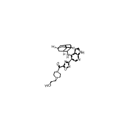 O=C(c1nc(-c2cnc3[nH]ccc3c2NC2[C@@H]3CC4C[C@H]2CC(O)(C4)C3)no1)N1CCN(CCO)CC1